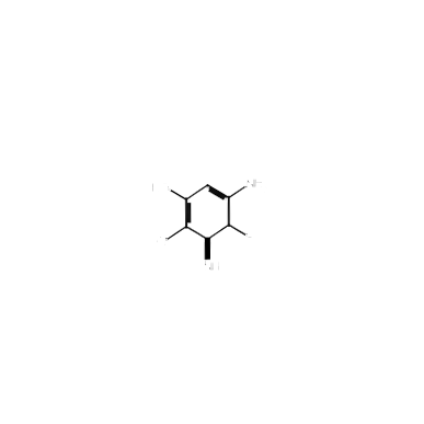 N=C1C(Cl)=C(O)C=C(N)C1F